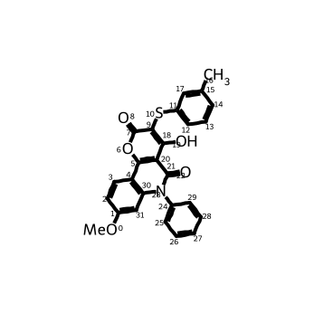 COc1ccc2c3oc(=O)c(Sc4cccc(C)c4)c(O)c3c(=O)n(-c3ccccc3)c2c1